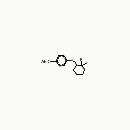 COc1ccc(OC2CCCCC2(F)F)cc1